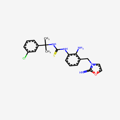 CC(C)(NC(=S)Nc1cccc(Cn2ccoc2=N)c1N)c1cccc(Cl)c1